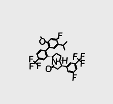 COc1cc(F)c(C(C)C)cc1-c1ccc(C(F)(F)F)cc1[C@@H]1CC[C@H]2[C@@H](c3cc(F)cc(C(F)(F)F)c3)CC(=O)N12